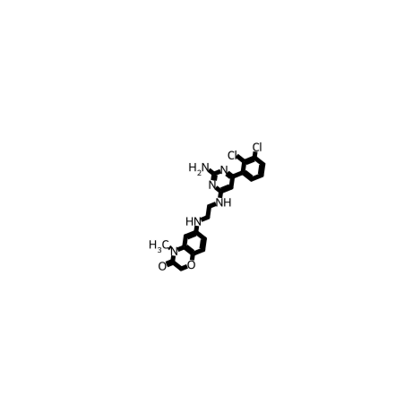 CN1C(=O)COc2ccc(NCCNc3cc(-c4cccc(Cl)c4Cl)nc(N)n3)cc21